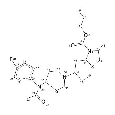 CCCOC(=O)N1C(C)CCC1CC(CC)N1CCC(N(C(C)=O)c2ccc(F)cc2)CC1